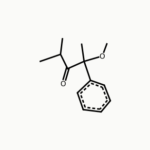 COC(C)(C(=O)C(C)C)c1ccccc1